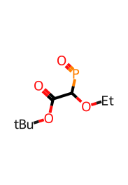 CCOC(P=O)C(=O)OC(C)(C)C